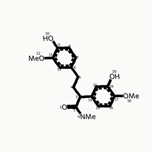 CNC(=O)C(CCc1ccc(O)c(OC)c1)c1ccc(OC)c(O)c1